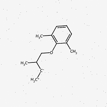 [CH2+][CH-]C(C)COc1c(C)cccc1C